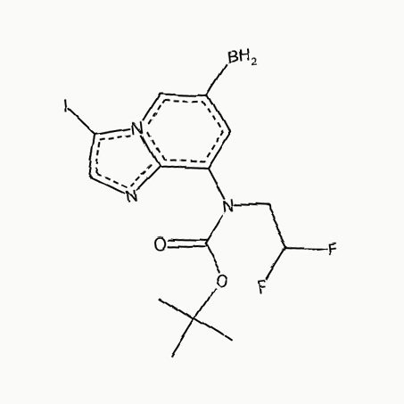 Bc1cc(N(CC(F)F)C(=O)OC(C)(C)C)c2ncc(I)n2c1